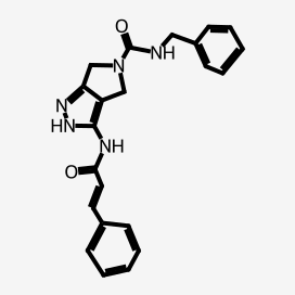 O=C(/C=C/c1ccccc1)Nc1[nH]nc2c1CN(C(=O)NCc1ccccc1)C2